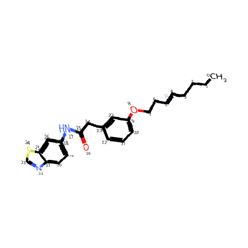 CCCC/C=C/CCOc1cccc(CC(=O)Nc2ccc3ncsc3c2)c1